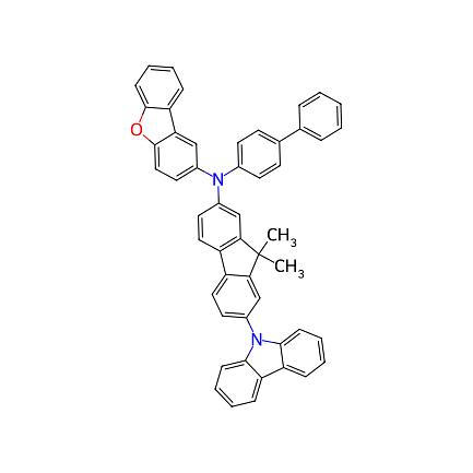 CC1(C)c2cc(N(c3ccc(-c4ccccc4)cc3)c3ccc4oc5ccccc5c4c3)ccc2-c2ccc(-n3c4ccccc4c4ccccc43)cc21